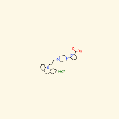 Cl.O=C(O)c1cccc(N2CCN(CCCN3c4ccccc4CCc4ccccc43)CC2)n1